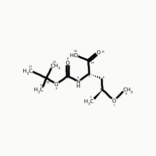 CO[C@@H](C)C[C@H](NC(=O)OC(C)(C)C)C(=O)O